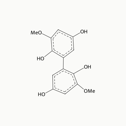 COc1cc(O)cc(-c2cc(O)cc(OC)c2O)c1O